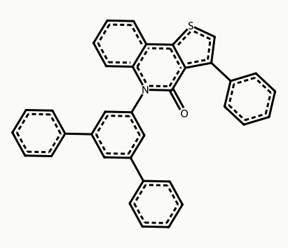 O=c1c2c(-c3ccccc3)csc2c2ccccc2n1-c1cc(-c2ccccc2)cc(-c2ccccc2)c1